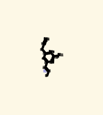 C/C=C/c1cc(CC#N)nc(F)n1